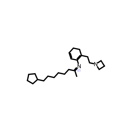 C/C(CCCCCCC1CCCC1)=N/C1=C(CCN2CCC2)CCC=C1